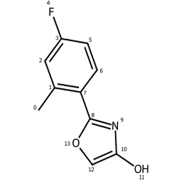 Cc1cc(F)ccc1-c1nc(O)co1